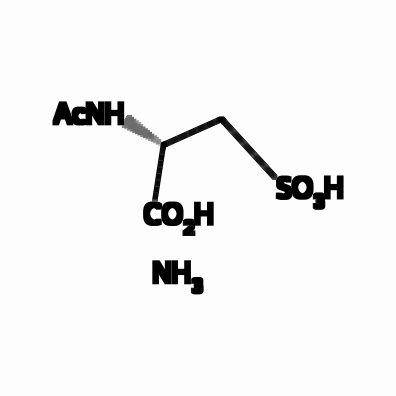 CC(=O)N[C@H](CS(=O)(=O)O)C(=O)O.N